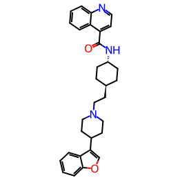 O=C(N[C@H]1CC[C@H](CCN2CCC(c3coc4ccccc34)CC2)CC1)c1ccnc2ccccc12